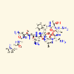 CCNC(=O)C(NC(=O)[C@H](CCN)NC(=O)[C@H](CCN)NC(=O)[C@H](CC(C)C)NC(=O)[C@@H](Cc1ccccc1)NC(=O)[C@H](CCN)NC(=O)CNC(=O)[C@H](CCN)NC(=O)CNC(=O)CC[C@@H]1CCCN1)C(C)O